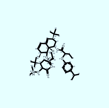 CCC(Oc1ccc(C(C)C)cc1)C(=O)O[C@H]1C[C@H](C(C)(C)C)C=C2C=C[C@H](C)[C@](CC[C@@H]3C[C@H](C(C)(C)C)C(O[SiH](C)C)C(=O)O3)(O[SiH](C)C)[C@H]21